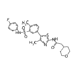 Cc1ccc(-c2sc(NC(=O)CC3CCOCC3)nc2C)cc1S(=O)(=O)Nc1ccc(F)cc1